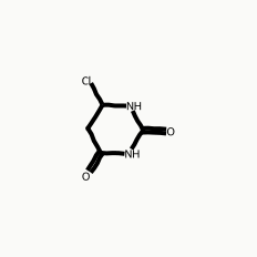 O=C1CC(Cl)NC(=O)N1